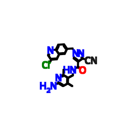 Cc1cc(N)nc(C)c1CNC(=O)c1cn(Cc2ccc3ncc(Cl)cc3c2)nc1C#N